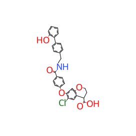 O=C(NCCc1ccc(-c2ccccc2O)cc1)c1ccc(Oc2cc3c(cc2Cl)C(C(=O)O)CCO3)cc1